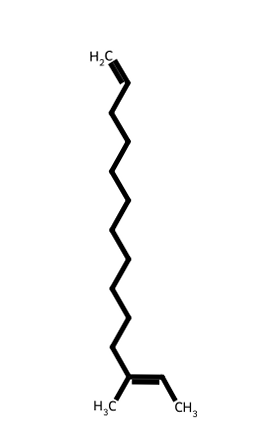 C=CCCCCCCCCCC(C)=CC